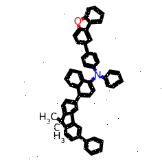 CC1(C)c2ccc(-c3ccccc3)cc2-c2cc(-c3ccc(N(c4ccccc4)c4ccc(-c5ccc6oc7ccccc7c6c5)cc4)c4ccccc34)ccc21